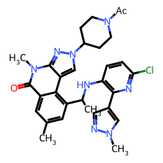 CC(=O)N1CCC(n2cc3c4c(C(C)Nc5ccc(Cl)nc5-c5cnn(C)c5)cc(C)cc4c(=O)n(C)c3n2)CC1